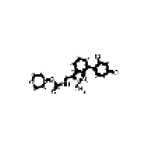 Cn1nc2c(-c3ccc(Cl)cc3Cl)cccc2c1CNC(=O)ON1CCOCC1